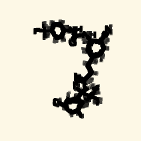 Cc1cc(Cl)cc(C2(C(F)(F)F)CC(/C=C/c3ccc(C#N)c(NC(=O)Nc4ccc(C(F)(F)F)cc4)c3)=NO2)c1